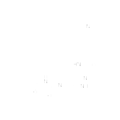 O=C(C=Cc1cccnc1)Nc1n[nH]c2c1CN(C(=O)NC(=O)c1ccccc1)C2